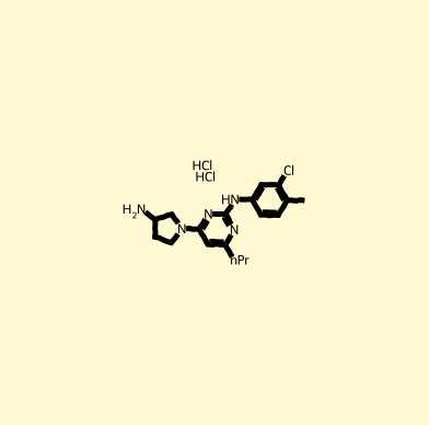 CCCc1cc(N2CCC(N)C2)nc(Nc2ccc(C)c(Cl)c2)n1.Cl.Cl